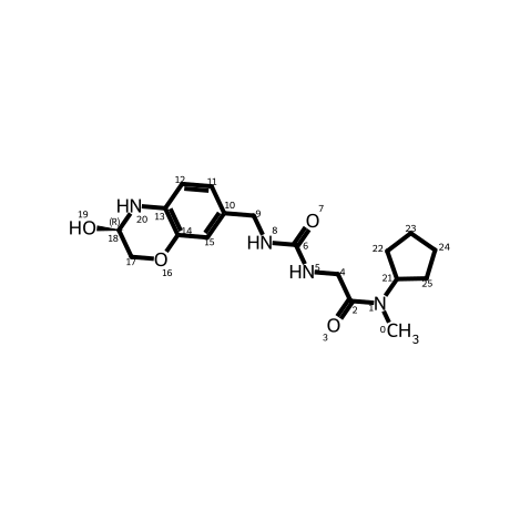 CN(C(=O)CNC(=O)NCc1ccc2c(c1)OC[C@@H](O)N2)C1CCCC1